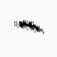 COC(=O)N[C@H](C(=O)N1C[C@@H](C)C[C@H]1c1nc(-c2ccc(-c3cc(Cl)c(C(=O)Nc4ccc(NCCNC(=O)C(C)(C)C)nc4)cc3OC(F)(F)F)cc2)c[nH]1)C1C[C@H](C)O[C@@H](C)C1